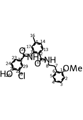 COc1ccccc1CCNC(=O)c1ccc(C)cc1NC(=O)c1ccc(O)c(Cl)c1